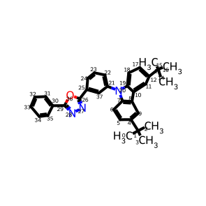 CC(C)(C)c1ccc2c(c1)c1cc(C(C)(C)C)ccc1n2-c1cccc(-c2nnc(-c3ccccc3)o2)c1